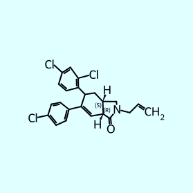 C=CCN1C[C@H]2CC(c3ccc(Cl)cc3Cl)C(c3ccc(Cl)cc3)=C[C@H]2C1=O